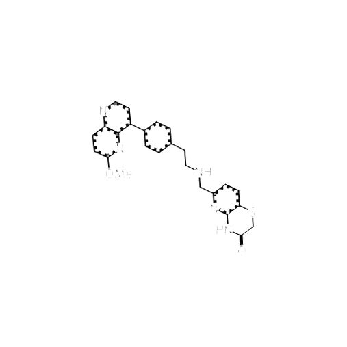 COc1ccc2nccc(-c3ccc(CCNCc4ccc5c(n4)NC(=O)CS5)cc3)c2n1